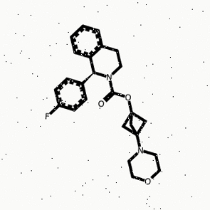 O=C(OC12CC(N3CCOCC3)(C1)C2)N1CCc2ccccc2[C@@H]1c1ccc(F)cc1